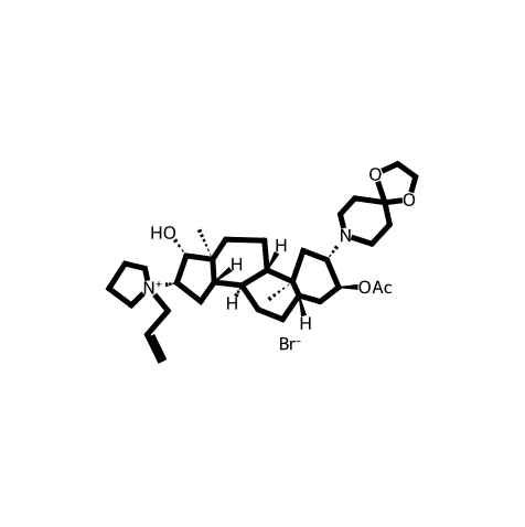 C=CC[N+]1([C@H]2C[C@H]3[C@@H]4CC[C@H]5C[C@H](OC(C)=O)[C@@H](N6CCC7(CC6)OCCO7)C[C@]5(C)[C@H]4CC[C@]3(C)[C@H]2O)CCCC1.[Br-]